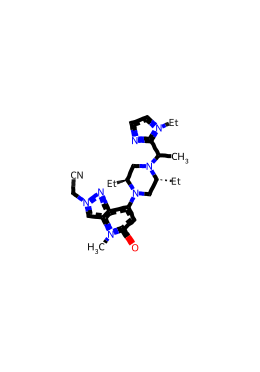 CC[C@H]1CN(C(C)c2nccn2CC)[C@H](CC)CN1c1cc(=O)n(C)c2cn(CC#N)nc12